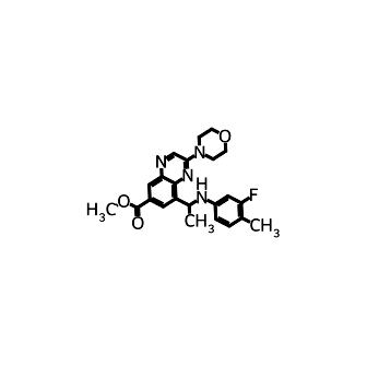 COC(=O)c1cc(C(C)Nc2ccc(C)c(F)c2)c2nc(N3CCOCC3)cnc2c1